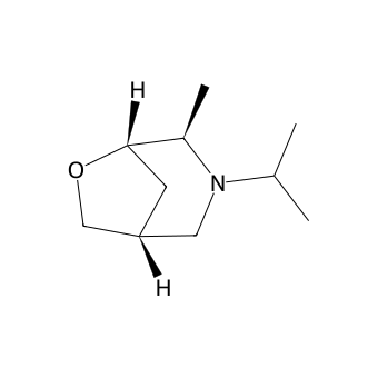 CC(C)N1C[C@@H]2CO[C@@H](C2)[C@H]1C